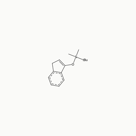 CC(C)(C)[Si](C)(C)OC1=CCc2ccccc21